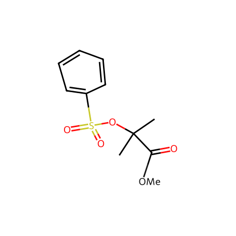 COC(=O)C(C)(C)OS(=O)(=O)c1ccccc1